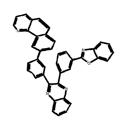 c1cc(-c2ccc3ccc4cccnc4c3c2)cc(-c2nc3ccccc3nc2-c2cccc(-c3nc4ccccc4o3)c2)c1